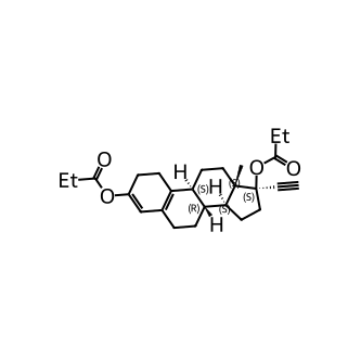 C#C[C@]1(OC(=O)CC)CC[C@H]2[C@@H]3CCC4=C(CCC(OC(=O)CC)=C4)[C@H]3CC[C@@]21C